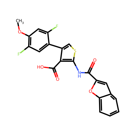 COc1cc(F)c(-c2csc(NC(=O)c3cc4ccccc4o3)c2C(=O)O)cc1F